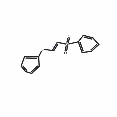 O=S(=O)(/C=C/Sc1ccccc1)c1ccccc1